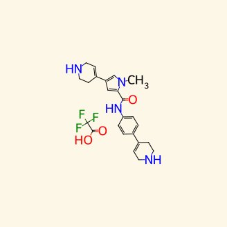 Cn1cc(C2=CCNCC2)cc1C(=O)Nc1ccc(C2=CCNCC2)cc1.O=C(O)C(F)(F)F